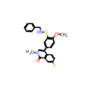 COc1ccc(-c2cn(C)c(=O)c3cc(F)ccc23)cc1SNCc1ccccc1